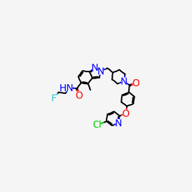 Cc1c(C(=O)NCCF)ccc2nn(CC3CCN(C(=O)C4=CCC(Oc5ccc(Cl)cn5)C=C4)CC3)cc12